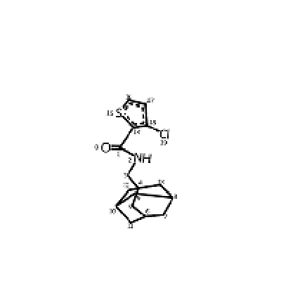 O=C(NCC12CC3CC(CC(C3)C1)C2)c1sccc1Cl